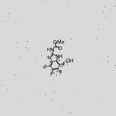 COC(=O)Nc1nc2c(F)c(F)c(F)c(F)c2[nH]1.Cl